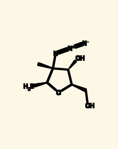 B[C@@H]1O[C@H](CO)[C@@H](O)[C@@]1(C)N=[N+]=[N-]